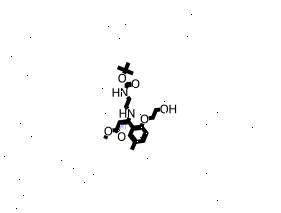 COC(=O)/C=C(/NCCNC(=O)OC(C)(C)C)c1cc(C)ccc1OCCO